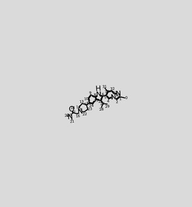 Cc1cn2cc(-c3[nH]c4ccc(C5CCN(CC(=O)N(C)C)CC5)cc4c3C(C)C)c(C)cc2n1